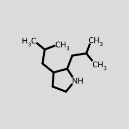 CC(C)CC1CCNC1CC(C)C